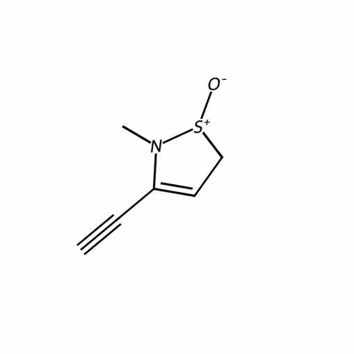 C#CC1=CC[S+]([O-])N1C